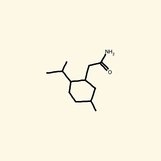 CC1CCC(C(C)C)C(CC(N)=O)C1